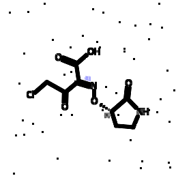 O=C(O)/C(=N/O[C@H]1CCNC1=O)C(=O)CCl